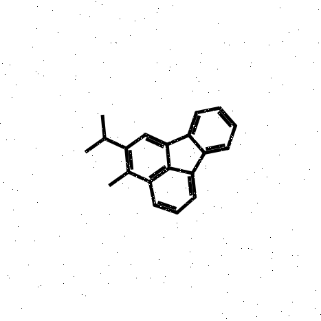 Cc1c(C(C)C)cc2c3c(cccc13)-c1ccccc1-2